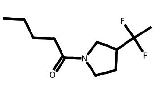 CCCCC(=O)N1CCC(C(C)(F)F)C1